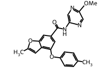 COc1cnc(NC(=O)c2cc(Oc3ccc(C)cc3)c3cc(C)oc3c2)cn1